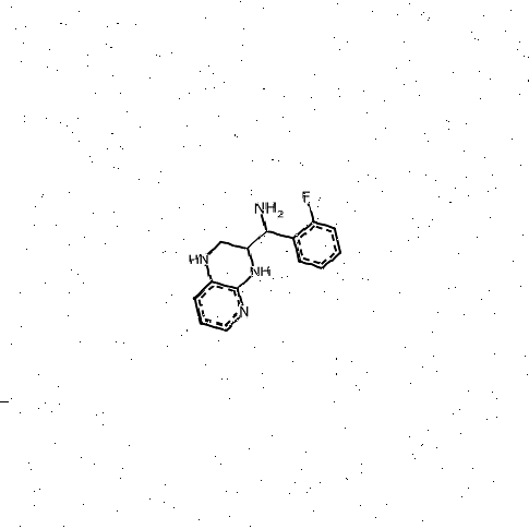 NC(c1ccccc1F)C1CNc2cccnc2N1